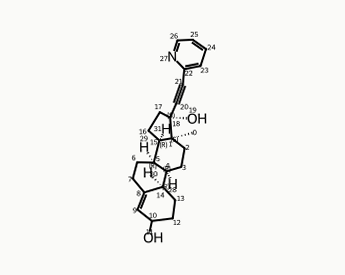 C[C@]12CC[C@@H]3[C@@H](CCC4=CC(O)CC[C@@H]43)[C@H]1CC[C@@]2(O)C#Cc1ccccn1